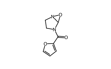 O=C(c1ccco1)N1CCN2OC21